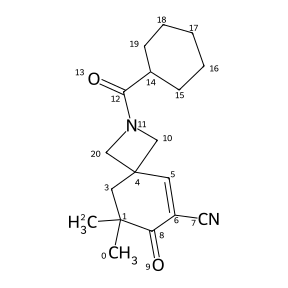 CC1(C)CC2(C=C(C#N)C1=O)CN(C(=O)C1CCCCC1)C2